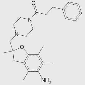 Cc1c(C)c2c(c(C)c1N)CC(C)(CN1CCN(C(=O)CCc3ccccc3)CC1)O2